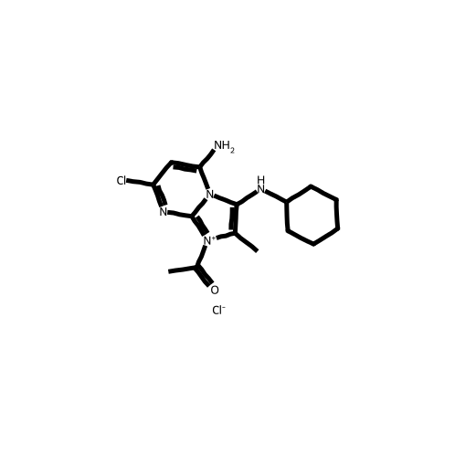 CC(=O)[n+]1c(C)c(NC2CCCCC2)n2c(N)cc(Cl)nc21.[Cl-]